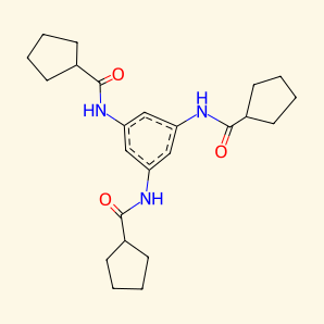 O=C(Nc1cc(NC(=O)C2CCCC2)cc(NC(=O)C2CCCC2)c1)C1CCCC1